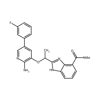 CNC(=O)c1cccc2[nH]c(C(C)Oc3cc(-c4cccc(F)c4)cnc3N)nc12